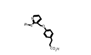 CC(C)Sc1ncccc1COc1ccc(CCC(=O)O)cc1